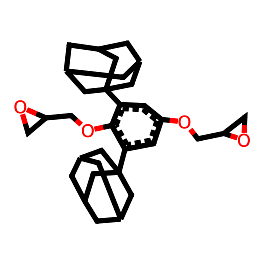 c1c(OCC2CO2)cc(C23CC4CC(CC(C4)C2)C3)c(OCC2CO2)c1C12CC3CC(CC(C3)C1)C2